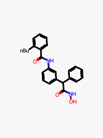 CCCCc1ccccc1C(=O)Nc1cccc(C(C(=O)NO)c2ccccc2)c1